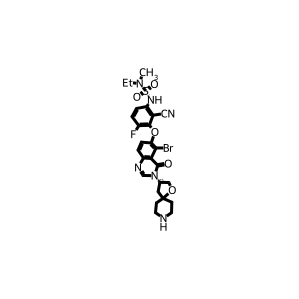 CCN(C)S(=O)(=O)Nc1ccc(F)c(Oc2ccc3ncn([C@@H]4COC5(CCNCC5)C4)c(=O)c3c2Br)c1C#N